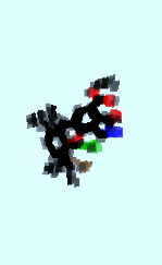 COC(=O)c1cc2c(c3c1C(=O)NC3)O[C@@]13C[C@@H](Cl)[C@H](Br)C(C)(C)[C@@H]1CC[C@H](C)[C@@]3(C)C2